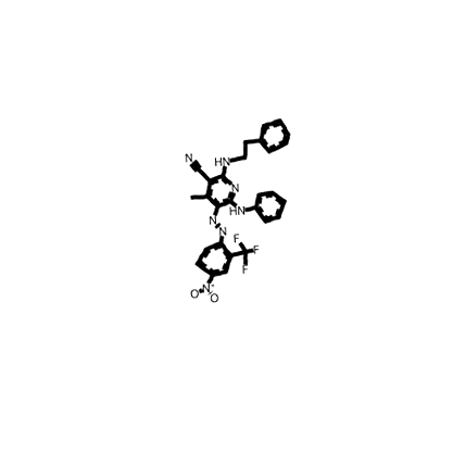 Cc1c(C#N)c(NCCc2ccccc2)nc(Nc2ccccc2)c1/N=N/c1ccc([N+](=O)[O-])cc1C(F)(F)F